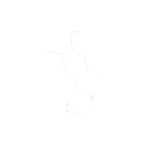 COc1cc(Cl)c(-c2ccccn2)cc1Cl